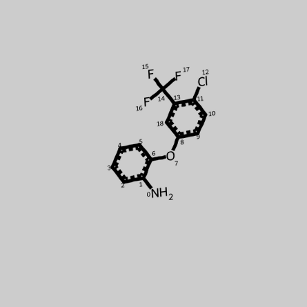 Nc1ccccc1Oc1ccc(Cl)c(C(F)(F)F)c1